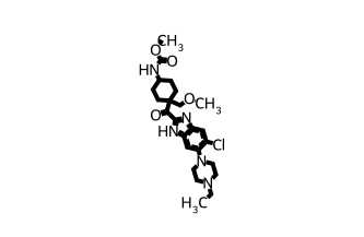 CCN1CCN(c2cc3[nH]c(C(=O)C4(COC)CCC(NC(=O)OC)CC4)nc3cc2Cl)CC1